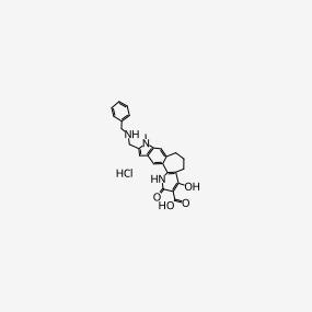 Cl.Cn1c(CNCc2ccccc2)cc2cc3c(cc21)CCCc1c-3[nH]c(=O)c(C(=O)O)c1O